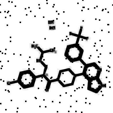 CC(C)NC[C@@H](C(=O)N1CCN(c2c(-c3cccc(C(F)(F)F)c3)cnc3[nH]ccc23)CC1)c1ccc(Cl)cc1.Cl.Cl